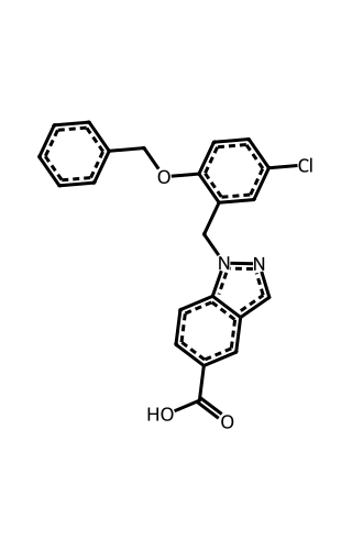 O=C(O)c1ccc2c(cnn2Cc2cc(Cl)ccc2OCc2ccccc2)c1